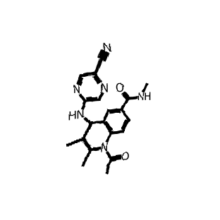 CNC(=O)c1ccc2c(c1)C(Nc1cnc(C#N)cn1)C(C)C(C)N2C(C)=O